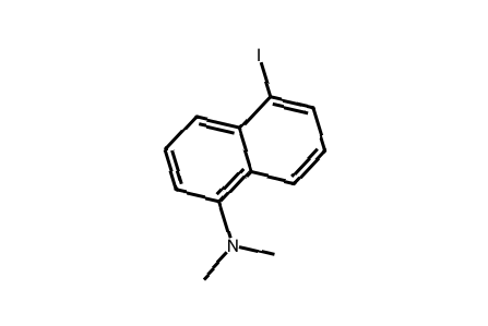 CN(C)c1cccc2c(I)cccc12